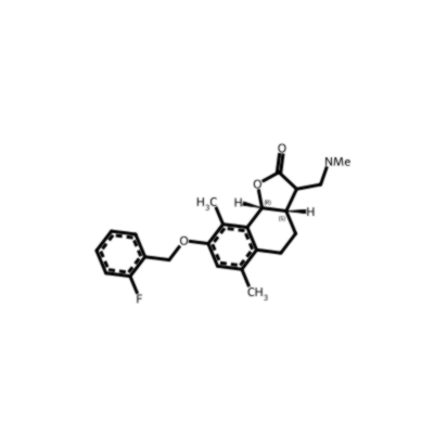 CNCC1C(=O)O[C@H]2c3c(C)c(OCc4ccccc4F)cc(C)c3CC[C@@H]12